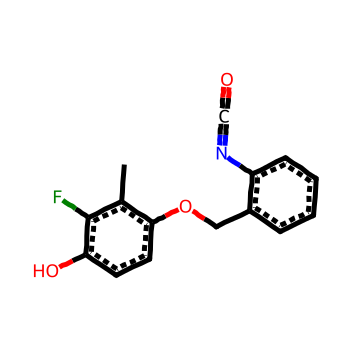 Cc1c(OCc2ccccc2N=C=O)ccc(O)c1F